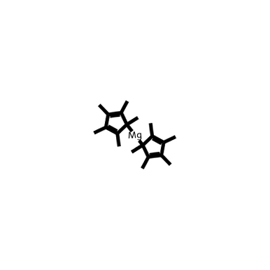 CC1=C(C)[C](C)([Mg][C]2(C)C(C)=C(C)C(C)=C2C)C(C)=C1C